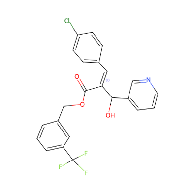 O=C(OCc1cccc(C(F)(F)F)c1)/C(=C\c1ccc(Cl)cc1)C(O)c1cccnc1